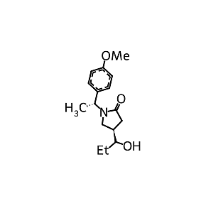 CCC(O)[C@@H]1CC(=O)N([C@H](C)c2ccc(OC)cc2)C1